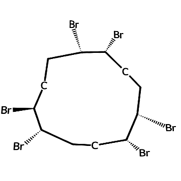 Br[C@@H]1CC[C@H](Br)[C@@H](Br)CC[C@H](Br)[C@H](Br)CC[C@@H]1Br